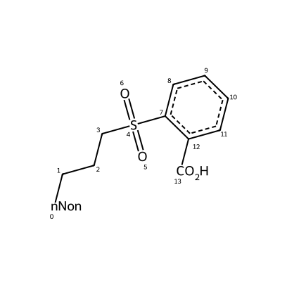 CCCCCCCCCCCCS(=O)(=O)c1ccccc1C(=O)O